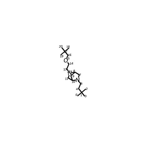 CC(C)(C)CCN1CC2CC1CN2CCOCC(C)(C)C